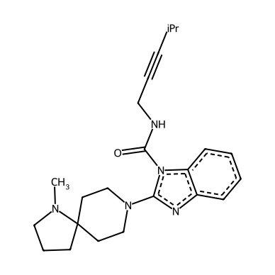 CC(C)C#CCNC(=O)n1c(N2CCC3(CCCN3C)CC2)nc2ccccc21